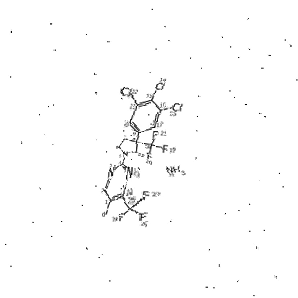 Cc1cnc(N2CCC(c3cc(Cl)c(Cl)c(Cl)c3)(C(F)(F)F)C2)nc1C(F)(F)F.N